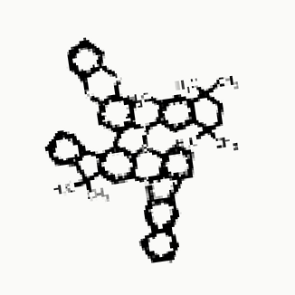 Cc1cc2c(cc1N1B3c4c(cc5c(c4-c4cc6c(cc41)Sc1ccccc1S6)-c1ccccc1C5(C)C)-n1c4cc5ccccc5cc4c4cccc3c41)C(C)(C)CCC2(C)C